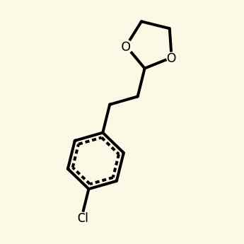 Clc1ccc(CCC2OCCO2)cc1